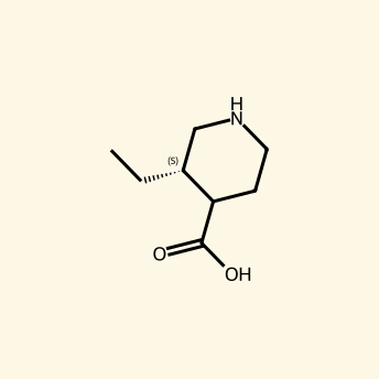 CC[C@@H]1CNCCC1C(=O)O